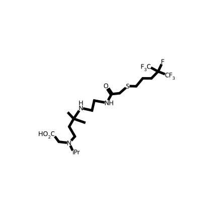 CC(C)N(CCC(C)(C)NCCNC(=O)CSCCCC(F)(C(F)(F)F)C(F)(F)F)CC(=O)O